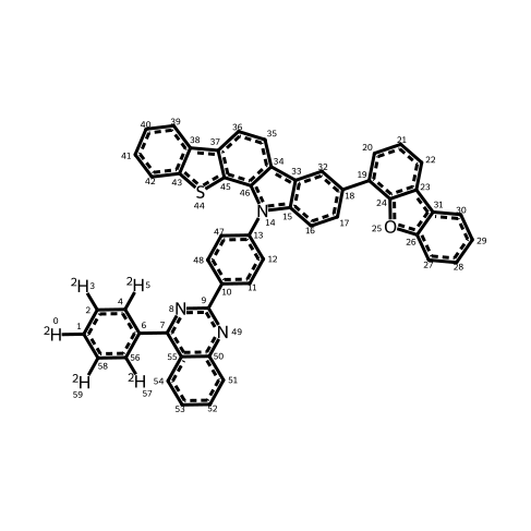 [2H]c1c([2H])c([2H])c(-c2nc(-c3ccc(-n4c5ccc(-c6cccc7c6oc6ccccc67)cc5c5ccc6c7ccccc7sc6c54)cc3)nc3ccccc23)c([2H])c1[2H]